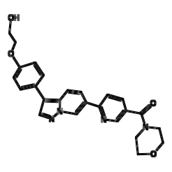 O=C(c1ccc(-c2ccc3c(-c4ccc(OCCO)cc4)cnn3c2)nc1)N1CCOCC1